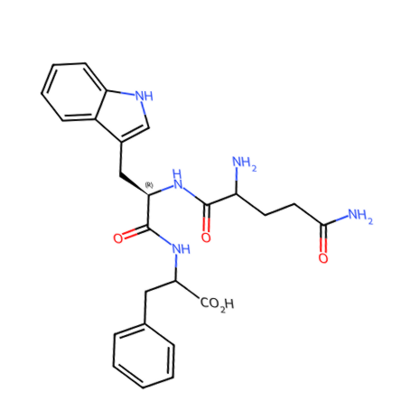 NC(=O)CCC(N)C(=O)N[C@H](Cc1c[nH]c2ccccc12)C(=O)NC(Cc1ccccc1)C(=O)O